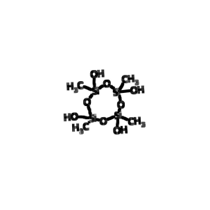 C[Si]1(O)O[Si](C)(O)O[Si](C)(O)O[Si](C)(O)O1